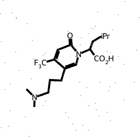 CC(C)CC(C(=O)O)n1cc(CCCN(C)C)c(C(F)(F)F)cc1=O